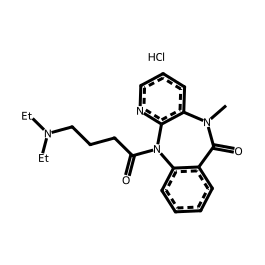 CCN(CC)CCCC(=O)N1c2ccccc2C(=O)N(C)c2cccnc21.Cl